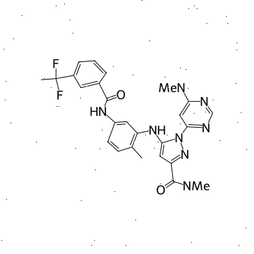 CNC(=O)c1cc(Nc2cc(NC(=O)c3cccc(C(C)(F)F)c3)ccc2C)n(-c2cc(NC)ncn2)n1